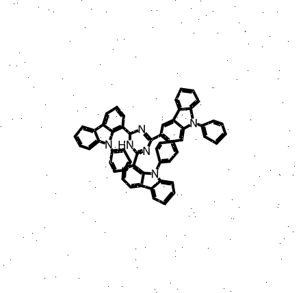 c1ccc(-n2c3ccccc3c3cc(C4=NC(c5cccc6c7ccccc7n(-c7ccccc7)c56)NC(c5cccc6c7ccccc7n(-c7ccccc7)c56)=N4)ccc32)cc1